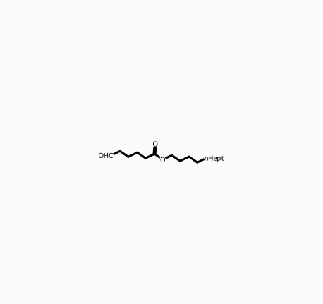 CCCCCCCCCCCOC(=O)CCCCC=O